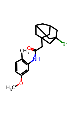 COc1ccc(C)c(NC(=O)CC23CC4CC(CC(Br)(C4)C2)C3)c1